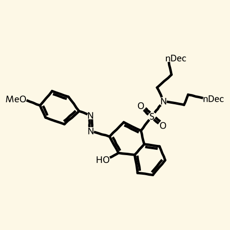 CCCCCCCCCCCCN(CCCCCCCCCCCC)S(=O)(=O)c1cc(/N=N/c2ccc(OC)cc2)c(O)c2ccccc12